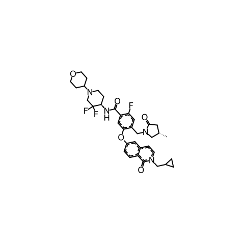 C[C@H]1CC(=O)N(Cc2cc(F)c(C(=O)N[C@@H]3CCN(C4CCOCC4)CC3(F)F)cc2Oc2ccc3c(=O)n(CC4CC4)ccc3c2)C1